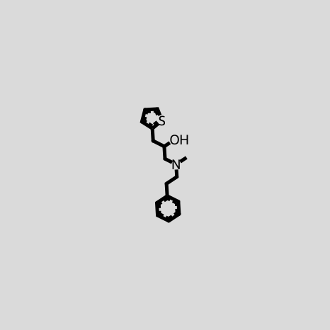 CN(CCc1ccccc1)CC(O)Cc1cccs1